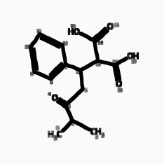 CC(C)C(=O)CC(c1ccccc1)C(C(=O)O)C(=O)O